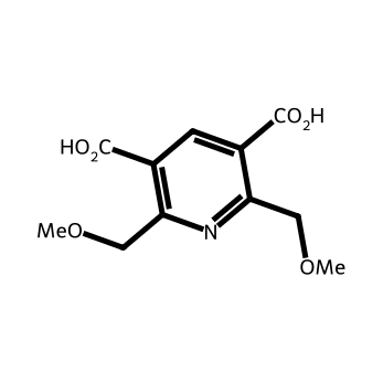 COCc1nc(COC)c(C(=O)O)cc1C(=O)O